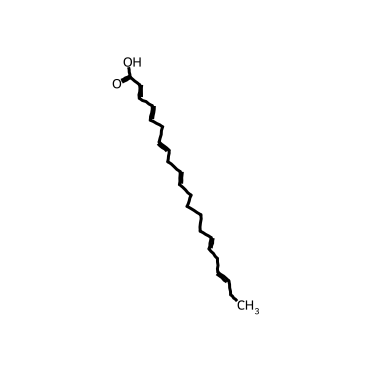 CCC=CCC=CCCCCC=CCC=CCC=CC=CC(=O)O